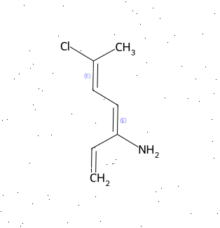 C=C/C(N)=C\C=C(/C)Cl